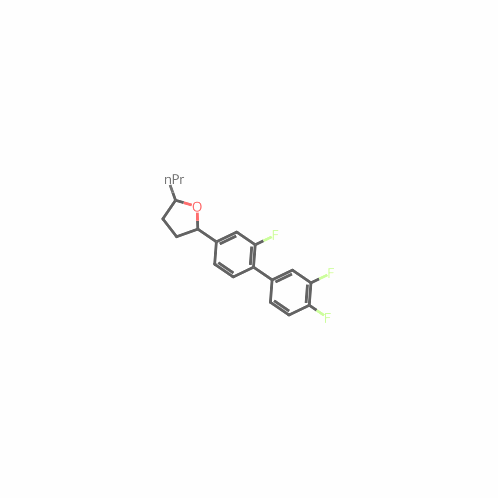 CCCC1CCC(c2ccc(-c3ccc(F)c(F)c3)c(F)c2)O1